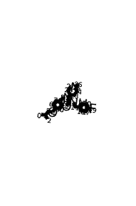 CC(C)COc1ccc(CN(C(=O)NCc2ccc(F)cc2)C2CCN(C)CC2)cc1